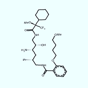 COCCCCOc1ccccc1C(=O)NC[C@@H](C[C@H](N)[C@@H](O)CNC(=O)[C@](OC)(C1CCCCC1)C(F)(F)F)C(C)C